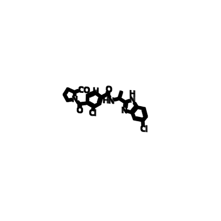 CC(NC(=O)c1ccc(C(=O)N2CCCC2C(=O)O)c(Cl)c1)c1nc2cc(Cl)ccc2[nH]1